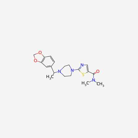 CC(c1ccc2c(c1)OCO2)N1CCN(c2ncc(C(=O)N(C)C)s2)CC1